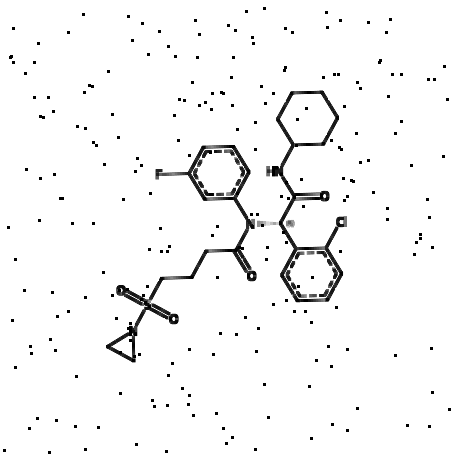 O=C(NC1CCCCC1)[C@H](c1ccccc1Cl)N(C(=O)CCCS(=O)(=O)N1CC1)c1cccc(F)c1